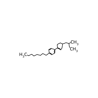 CCCCCCCCc1ccc(C2=CCC(CC(C)CC)CC2)cc1